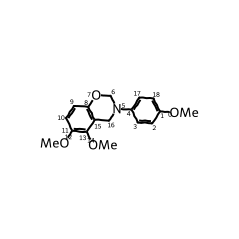 COc1ccc(N2COc3ccc(OC)c(OC)c3C2)cc1